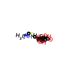 CCNc1cccc(SCc2ccc([C@@H]3O[C@@H]4C[C@H]5[C@@H]6CCC7=CC(=O)C=C[C@]7(C)[C@H]6[C@@H](O)C[C@]5(C)[C@]4(C(=O)CO)O3)cc2)c1